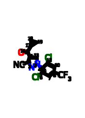 N#Cc1nn(-c2c(Cl)cc(C(F)(F)F)cc2Cl)cc1C(=O)C1CC1